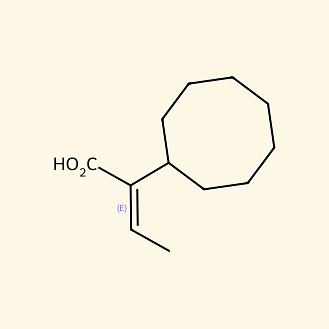 C/C=C(/C(=O)O)C1CCCCCCC1